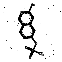 CC(=O)c1cc2cc(OS(=O)(=O)C(F)(F)F)ccc2cn1